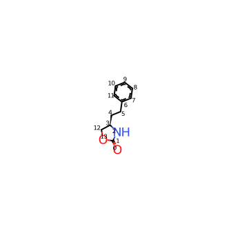 O=C1N[C@H](CCc2ccccc2)CO1